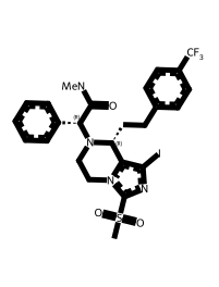 CNC(=O)[C@@H](c1ccccc1)N1CCn2c(S(C)(=O)=O)nc(I)c2[C@H]1CCc1ccc(C(F)(F)F)cc1